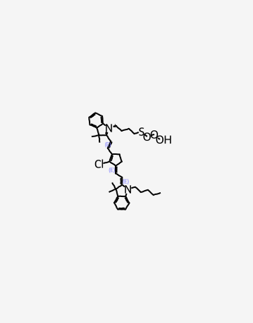 CCCCCN1/C(=C/C=C2\CCC(/C=C/C3=[N+](CCCCSOOO)c4ccccc4C3(C)C)=C2Cl)C(C)(C)c2ccccc21